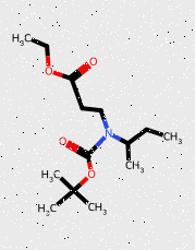 CCOC(=O)CCN(C(=O)OC(C)(C)C)C(C)CC